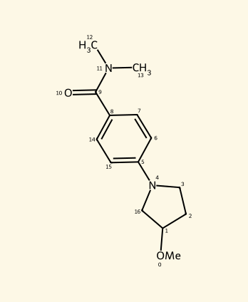 COC1CCN(c2ccc(C(=O)N(C)C)cc2)C1